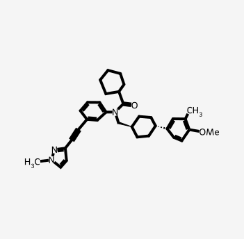 COc1ccc([C@H]2CC[C@H](CN(C(=O)C3CCCCC3)c3cccc(C#Cc4ccn(C)n4)c3)CC2)cc1C